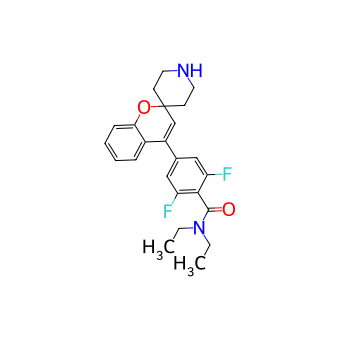 CCN(CC)C(=O)c1c(F)cc(C2=CC3(CCNCC3)Oc3ccccc32)cc1F